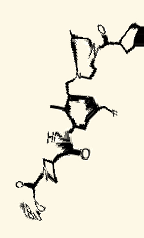 Cc1c(CN2CCN(C(=O)C3CCCC3)C(C)C2)cc(F)cc1NC(=O)C1CN(C(=O)OC(C)(C)C)C1